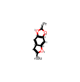 CC(C)C1Oc2cc3cc(C(C)(C)C)oc3cc2O1